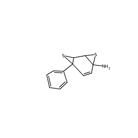 NC12C=CC3(c4ccccc4)SC3C1S2